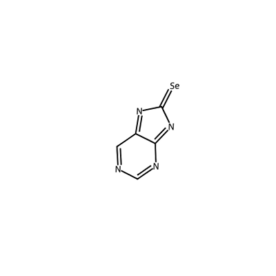 [Se]=C1N=c2cncnc2=N1